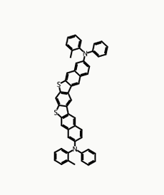 Cc1ccccc1N(c1ccccc1)c1ccc2cc3c(cc2c1)sc1cc2sc4cc5cc(N(c6ccccc6)c6ccccc6C)ccc5cc4c2cc13